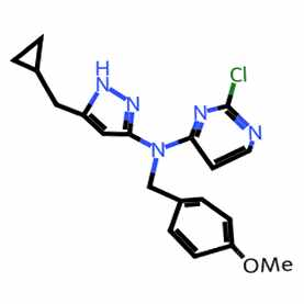 COc1ccc(CN(c2cc(CC3CC3)[nH]n2)c2ccnc(Cl)n2)cc1